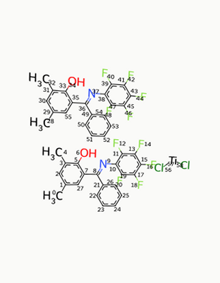 Cc1cc(C)c(O)c(C(=Nc2c(F)c(F)c(F)c(F)c2F)c2ccccc2)c1.Cc1cc(C)c(O)c(C(=Nc2c(F)c(F)c(F)c(F)c2F)c2ccccc2)c1.[Cl][Ti][Cl]